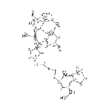 COc1cc(CCCCO[C@@H]2CCN([C@@H](C(=O)O)c3cc(F)cc4c3CC(C(C)(C)F)CO4)C2)nc2c1CCCN2